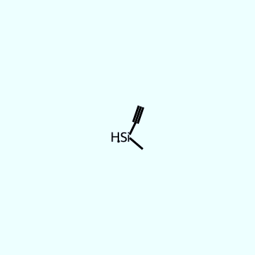 C#C[SiH](C)C